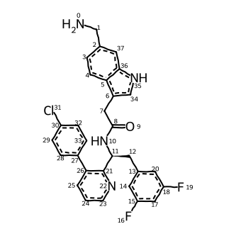 NCc1ccc2c(CC(=O)N[C@@H](Cc3cc(F)cc(F)c3)c3ncccc3-c3ccc(Cl)cc3)c[nH]c2c1